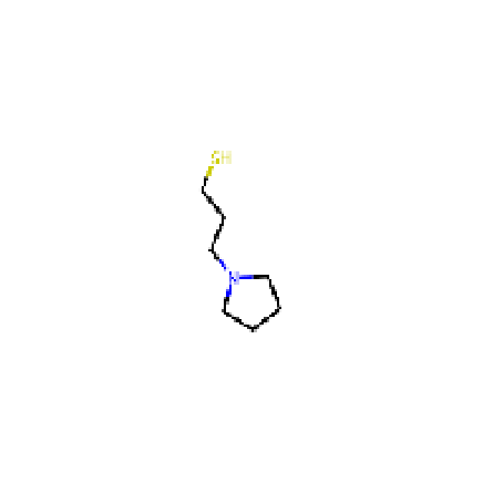 SCCCN1CCCC1